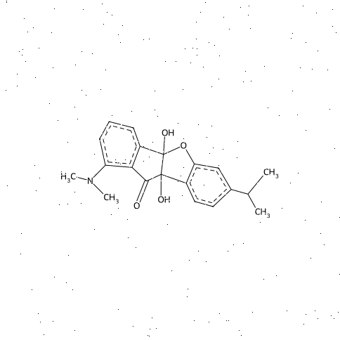 CC(C)c1ccc2c(c1)OC1(O)c3cccc(N(C)C)c3C(=O)C21O